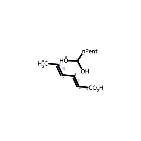 C/C=C/C=C/C(=O)O.CCCCCC(O)O